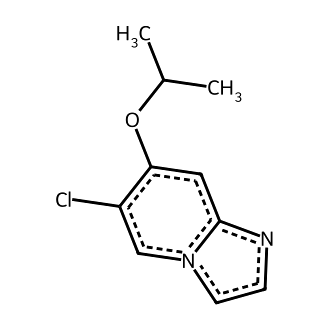 CC(C)Oc1cc2nccn2cc1Cl